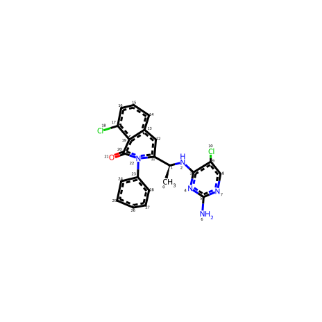 C[C@H](Nc1nc(N)ncc1Cl)c1cc2cccc(Cl)c2c(=O)n1-c1ccccc1